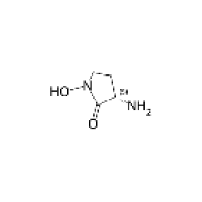 N[C@H]1CCN(O)C1=O